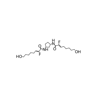 O=C(N[C@@H]1CC[C@H](NC(=O)/C(F)=C/CCCCCO)C1)/C(F)=C/CCCCCO